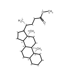 COC(=O)CC[C@@H](C)C1CCC2C3CCC4CCCC[C@]4(C)C3CC[C@@]21C